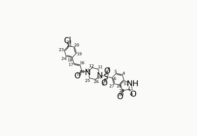 O=C1Nc2ccc(S(=O)(=O)N3CCN(C(=O)/C=C/c4ccc(Cl)cc4)CC3)cc2C1=O